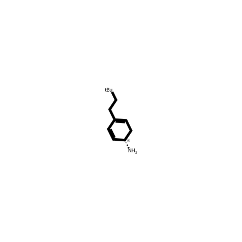 CC(C)(C)CCC1=CC[C@H](N)C=C1